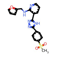 CS(=O)(=O)c1ccc(-c2nnc(-c3cccnc3NCc3ccco3)[nH]2)cc1